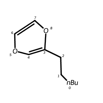 [CH2]CCCCCC1=COC=CO1